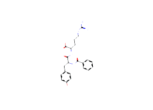 N=C(N)NCCCC(NC(=O)C(Cc1ccc(O)cc1)NC(=O)c1ccccc1)C(=O)O